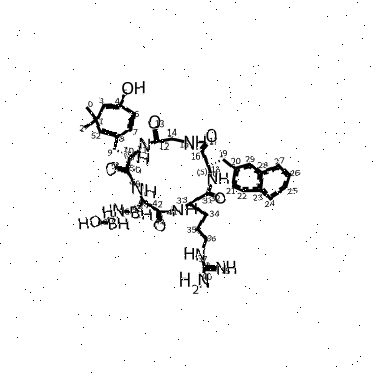 CC1(C)C=C(O)C=CC(C[C@@H]2NC(=O)CNC(=O)[C@H](Cc3ccc4ccccc4c3)NC(=O)C(CCCNC(=N)N)NC(=O)[C@@H](BNBO)NC2=O)=C1